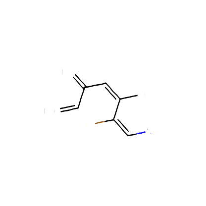 C=CC(=C)/C=C(C)\C(Br)=C/N